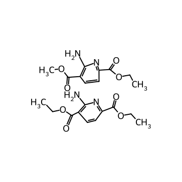 CCOC(=O)c1ccc(C(=O)OC)c(N)n1.CCOC(=O)c1ccc(C(=O)OCC)c(N)n1